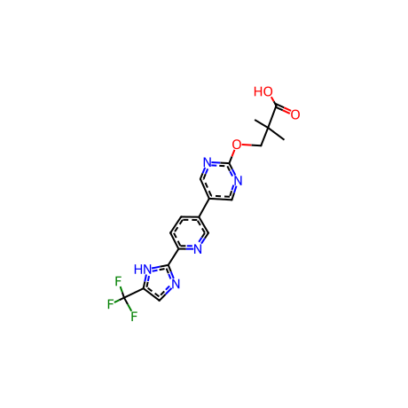 CC(C)(COc1ncc(-c2ccc(-c3ncc(C(F)(F)F)[nH]3)nc2)cn1)C(=O)O